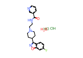 Cl.Cl.O.O=C(NCCN1CCC(c2noc3cc(F)ccc23)CC1)c1cccnc1